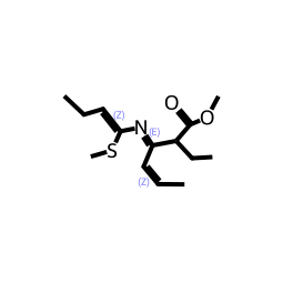 C\C=C/C(=N\C(=C\CC)SC)C(CC)C(=O)OC